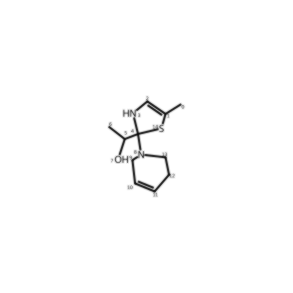 CC1=CNC(C(C)O)(N2CC=CCC2)S1